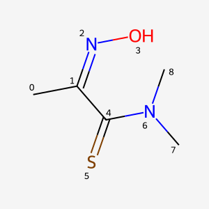 CC(=NO)C(=S)N(C)C